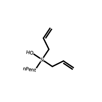 C=CC[Si](O)(CC=C)CCCCC